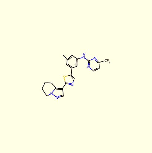 Cc1cc(Nc2nccc(C(F)(F)F)n2)cc(-c2cnc(-c3cnn4c3CCCC4)s2)c1